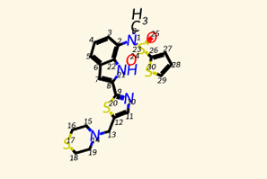 CN(c1cccc2cc(-c3ncc(CN4CCSCC4)s3)[nH]c12)S(=O)(=O)c1cccs1